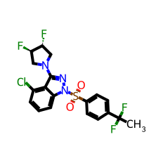 CC(F)(F)c1ccc(S(=O)(=O)n2nc(N3C[C@@H](F)[C@H](F)C3)c3c(Cl)cccc32)cc1